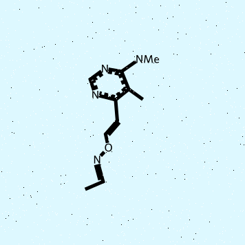 C/C=N/O/C=C/c1ncnc(NC)c1C